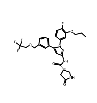 CCCOc1cc(-n2nc(NC(=O)[C@@H]3CNC(=O)C3)cc2-c2cccc(COCC(F)(F)F)c2)ccc1F